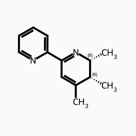 CC1=CC(c2ccccn2)=N[C@H](C)[C@@H]1C